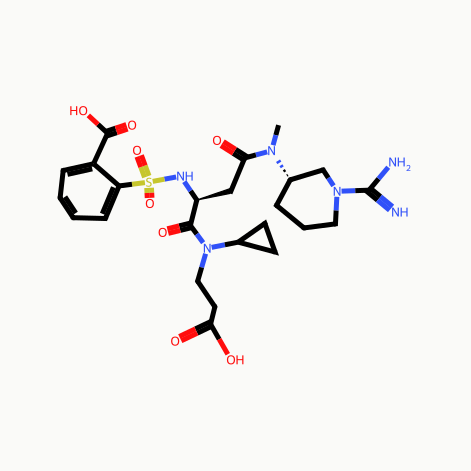 CN(C(=O)C[C@H](NS(=O)(=O)c1ccccc1C(=O)O)C(=O)N(CCC(=O)O)C1CC1)[C@H]1CCCN(C(=N)N)C1